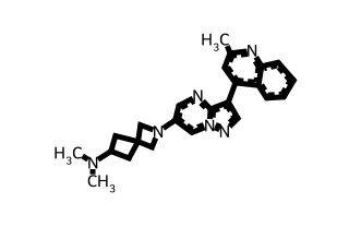 Cc1cc(-c2cnn3cc(N4CC5(CC(N(C)C)C5)C4)cnc23)c2ccccc2n1